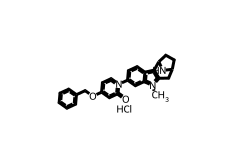 Cl.Cn1c2c(c3ccc(-n4ccc(OCc5ccccc5)cc4=O)cc31)C1CCC(C2)N1